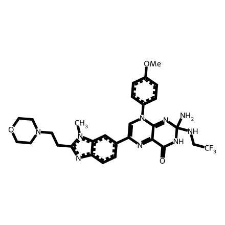 COc1ccc(N2C=C(c3ccc4nc(CCN5CCOCC5)n(C)c4c3)N=C3C(=O)NC(N)(NCC(F)(F)F)N=C32)cc1